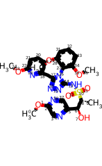 COc1cnc([C@H](O)[C@@H](C)S(=O)(=O)Nc2nnc(-c3cccc(OC)n3)n2-c2c(OC)cccc2OC)cn1